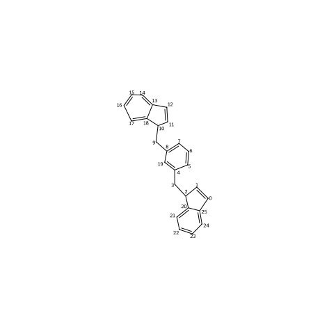 C1=CC(Cc2cccc(CC3C=Cc4ccccc43)c2)c2ccccc21